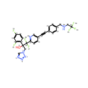 OC(Cn1cnnn1)(c1ccc(F)cc1F)C(F)(F)c1ccc(C#Cc2ccc(CNCC(F)(F)F)cc2)cn1